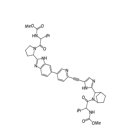 COC(=O)NC(C(=O)N1CCCC1c1nc2ccc(-c3ccc(C#Cc4cnc(C5C6CCC(C6)N5C(=O)C(NC(=O)OC)C(C)C)[nH]4)nc3)cc2[nH]1)C(C)C